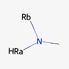 C[N]([Rb])[RaH]